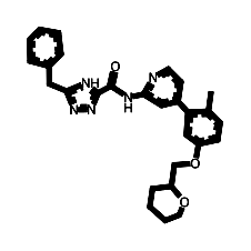 Cc1ccc(OCC2CCCCO2)cc1-c1ccnc(NC(=O)c2nnc(Cc3ccccc3)[nH]2)c1